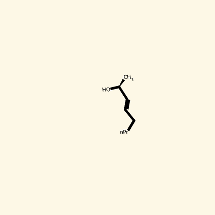 CCCC/C=C/[C@H](C)O